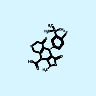 C[C@H]1OC(=O)C2=C1N(C(=O)O)C1=C(C(=O)COC1)[C@@H]2c1ccc(F)[c]([Sn]([CH3])([CH3])[CH3])c1